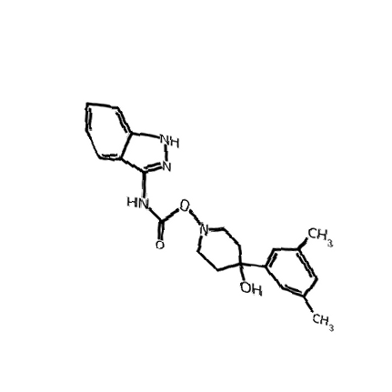 Cc1cc(C)cc(C2(O)CCN(OC(=O)Nc3n[nH]c4ccccc34)CC2)c1